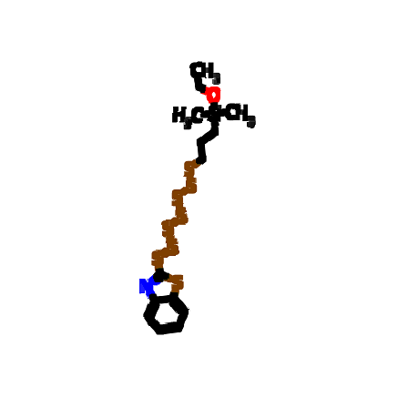 CCO[Si](C)(C)CCCSSSSSSSc1nc2ccccc2s1